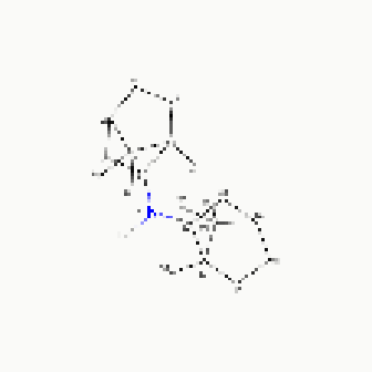 CN(C1CC2CCC1(C)C2(C)C)C1CC2CCC1(C)C2(C)C